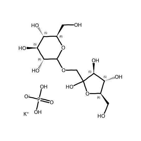 O=P([O-])(O)O.OC[C@H]1OC(O)(COC2O[C@H](CO)[C@@H](O)[C@H](O)[C@H]2O)[C@@H](O)[C@@H]1O.[K+]